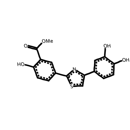 COC(=O)c1cc(-c2nc(-c3ccc(O)c(O)c3)cs2)ccc1O